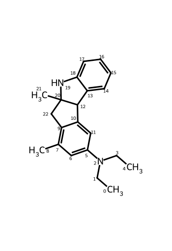 CCN(CC)c1cc(C)c2c(c1)C1c3ccccc3NC1(C)C2